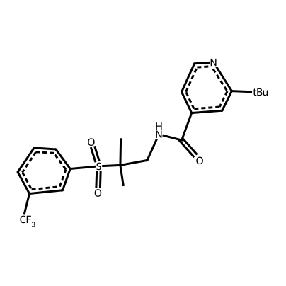 CC(C)(C)c1cc(C(=O)NCC(C)(C)S(=O)(=O)c2cccc(C(F)(F)F)c2)ccn1